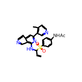 C=CC(Nc1nc(-c2cnccc2C)cc2ccncc12)S(=O)(=O)c1ccc(NC(C)=O)cc1